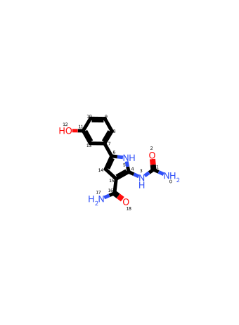 NC(=O)Nc1[nH]c(-c2cccc(O)c2)cc1C(N)=O